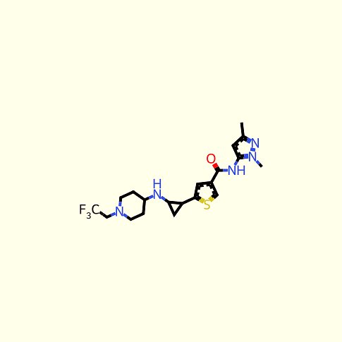 Cc1cc(NC(=O)c2csc(C3CC3NC3CCN(CC(F)(F)F)CC3)c2)n(C)n1